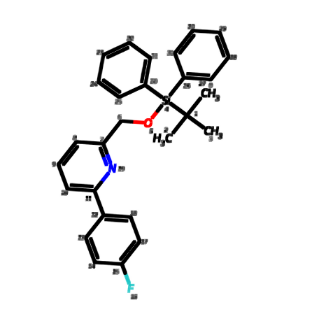 CC(C)(C)[Si](OCc1cccc(-c2ccc(F)cc2)n1)(c1ccccc1)c1ccccc1